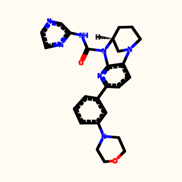 O=C(Nc1cnccn1)N1c2nc(-c3cccc(N4CCOCC4)c3)ccc2N2CCC[C@H]1C2